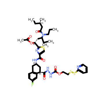 CCCN(C(=O)C[C@@H](C)CC)C(C[C@@H](OC(C)=O)c1nc(C(=O)N[C@H]2Cc3ccc(F)cc3[C@H](C(=O)NNC(=O)OCCSSc3ccccn3)C2)cs1)C(C)C